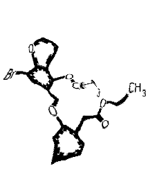 CCOC(=O)Cc1ccccc1OCc1cc(Br)c2occc2c1OC